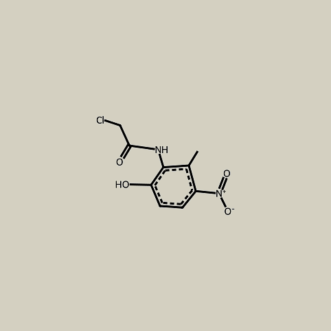 Cc1c([N+](=O)[O-])ccc(O)c1NC(=O)CCl